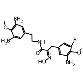 Bc1cc(CCNC(=O)/C(Cc2cc(B)c(OC)c(Br)c2)=N\O)cc(B)c1OC